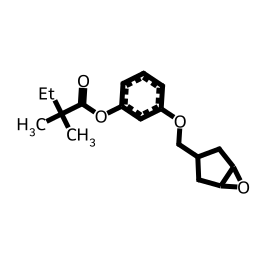 CCC(C)(C)C(=O)Oc1cccc(OCC2CC3OC3C2)c1